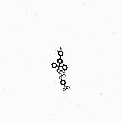 O=C(Oc1ccc([N+](=O)[O-])cc1)N1CCN(C(c2ccccc2)(c2ccccc2)c2ccc(-c3ccc(F)c(F)c3)cc2)C1=O